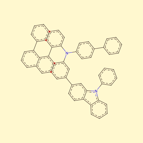 c1ccc(-c2ccc(N(c3cccc(-c4ccc5c6ccccc6n(-c6ccccc6)c5c4)c3)c3ccccc3-c3cccc4cccc(-c5ccccc5)c34)cc2)cc1